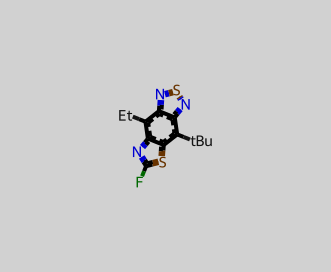 CCc1c2nsnc2c(C(C)(C)C)c2sc(F)nc12